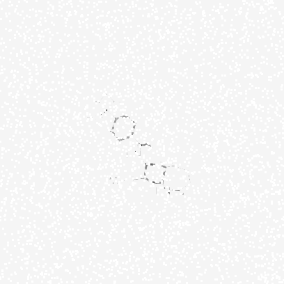 COc1cc2c(cc1NC(=O)c1ccc(C3(O)CCC3)cc1)CCCCN2